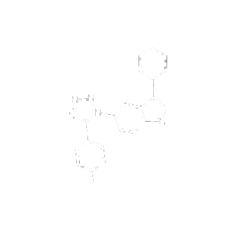 Fc1ccc(-c2nnnn2-c2ccc3noc(-c4ccccc4)c3c2)cc1